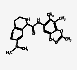 CC(=O)Oc1c(C)cc(NC(=O)C2NCCc3ccc(N(C)C)cc32)c(C)c1C